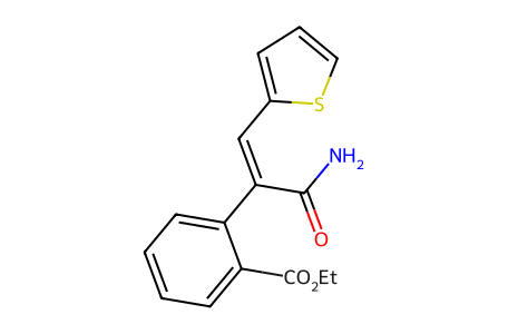 CCOC(=O)c1ccccc1C(=Cc1cccs1)C(N)=O